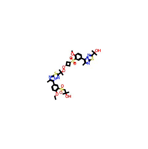 CCOc1ccc(-c2c(C)nc3sc(C(C)(C)OO[C@H]4C[C@H](S(=O)(=O)c5cc(-c6c(C)nc7sc(C(C)(C)O)nn67)ccc5OC)C4)nn23)cc1S(=O)(=O)CC(C)(C)O